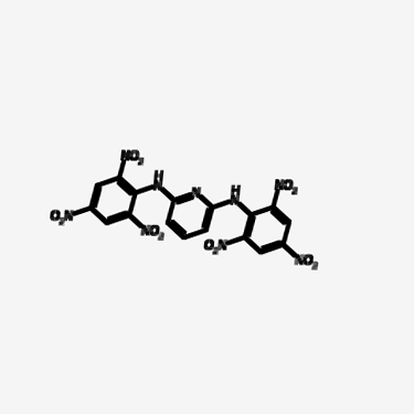 O=[N+]([O-])c1cc([N+](=O)[O-])c(Nc2cccc(Nc3c([N+](=O)[O-])cc([N+](=O)[O-])cc3[N+](=O)[O-])n2)c([N+](=O)[O-])c1